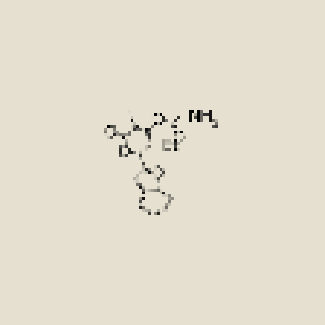 CCc1c(-c2cc3ccccc3o2)oc(=O)c(C)c1OC(=O)CN